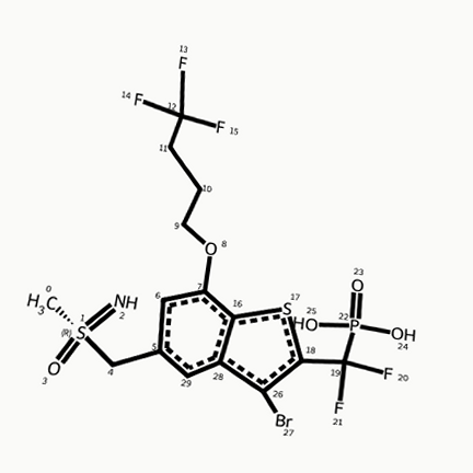 C[S@@](=N)(=O)Cc1cc(OCCCC(F)(F)F)c2sc(C(F)(F)P(=O)(O)O)c(Br)c2c1